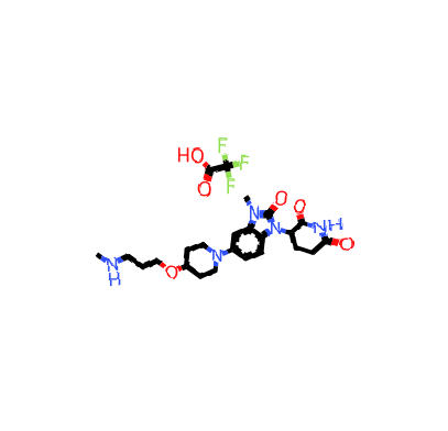 CNCCCOC1CCN(c2ccc3c(c2)n(C)c(=O)n3C2CCC(=O)NC2=O)CC1.O=C(O)C(F)(F)F